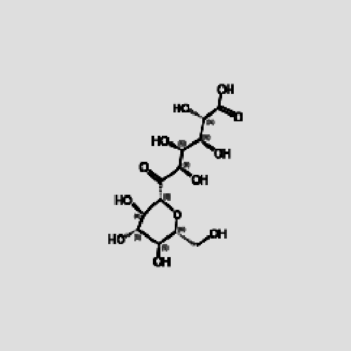 O=C(O)[C@@H](O)[C@@H](O)[C@H](O)[C@@H](O)C(=O)[C@@H]1O[C@H](CO)[C@@H](O)[C@H](O)[C@H]1O